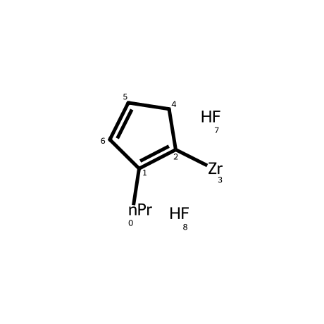 CCCC1=[C]([Zr])CC=C1.F.F